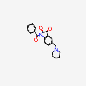 O=C1C(=O)N(C(=O)c2ccccc2)c2ccc(CN3CCCCC3)cc21